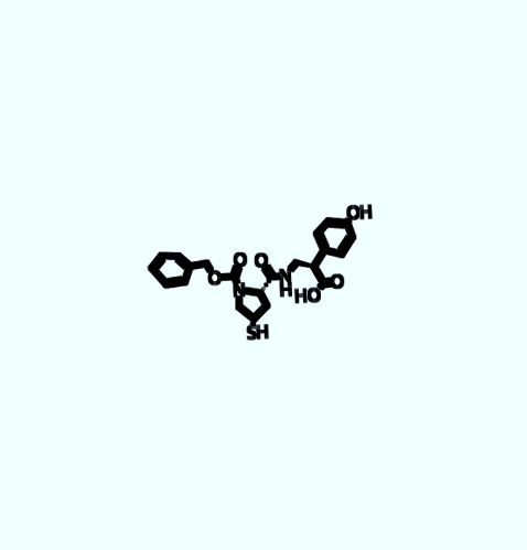 O=C(O)[C@@H](CNC(=O)[C@@H]1C[C@@H](S)CN1C(=O)OCc1ccccc1)c1ccc(O)cc1